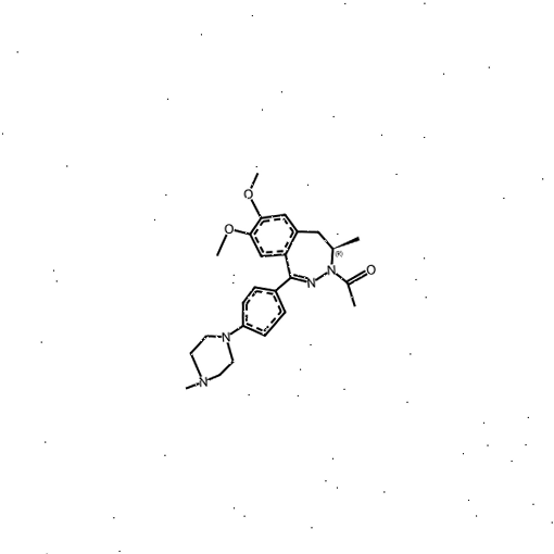 COc1cc2c(cc1OC)C(c1ccc(N3CCN(C)CC3)cc1)=NN(C(C)=O)[C@H](C)C2